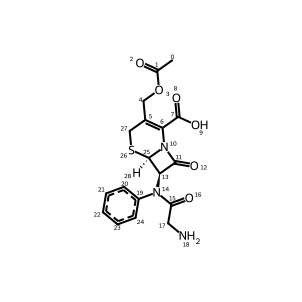 CC(=O)OCC1=C(C(=O)O)N2C(=O)[C@@H](N(C(=O)CN)c3ccccc3)[C@H]2SC1